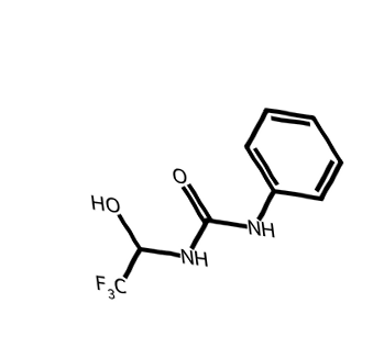 O=C(Nc1ccccc1)NC(O)C(F)(F)F